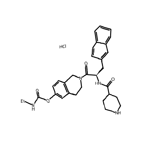 CCNC(=O)Oc1ccc2c(c1)CCN(C(=O)[C@@H](Cc1ccc3ccccc3c1)NC(=O)C1CCNCC1)C2.Cl